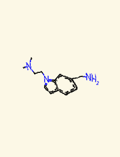 CN(C)CCn1ccc2ccc(CN)cc21